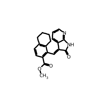 COC(=O)c1ccc2c(c1C=C1C(=O)Nc3ncccc31)CCCC2